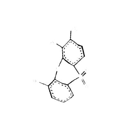 Cc1ccc2c(c1O)Oc1c(O)cccc1S2(=O)=O